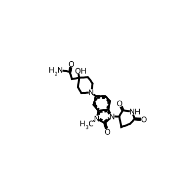 Cn1c(=O)n(C2CCC(=O)NC2=O)c2ccc(N3CCC(O)(CC(N)=O)CC3)cc21